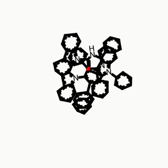 c1ccc(-c2cccc(C3=NC(c4ccccc4)NC(n4c5ccccc5c5ccc6c7ccccc7n(-c7c(-c8ccccc8)cc8c(c7-c7ccccc7)c7ccccc7n8-c7ccccc7)c6c54)=N3)c2)cc1